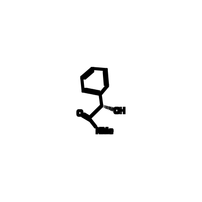 CNC(=O)[C@@H](O)c1ccccc1